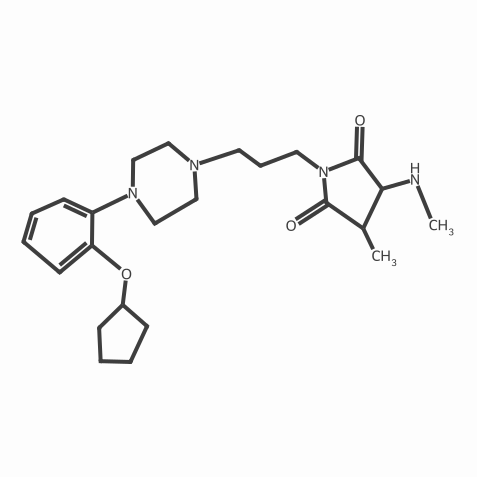 CNC1C(=O)N(CCCN2CCN(c3ccccc3OC3CCCC3)CC2)C(=O)C1C